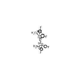 CC(N)=CC(OC(=O)/C=C/C(=O)OC(C=C(C)N)(c1ccc(F)cc1)c1ccc(F)cc1)(c1ccc(F)cc1)c1ccc(F)cc1